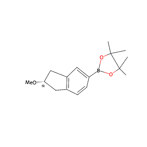 CO[C@H]1Cc2ccc(B3OC(C)(C)C(C)(C)O3)cc2C1